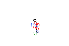 O=C(CNC(=O)OCc1ccccc1)OC/C=C/CCl